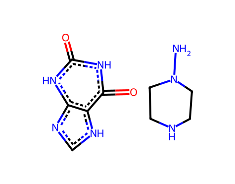 NN1CCNCC1.O=c1[nH]c(=O)c2[nH]cnc2[nH]1